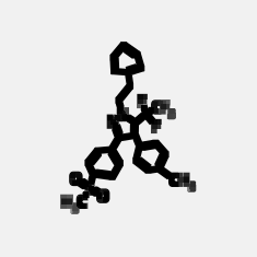 Cc1ccc(-c2c(-c3ccc(S(C)(=O)=O)cc3)nn(CCc3ccccc3)c2C(F)(F)C(F)(F)F)cc1